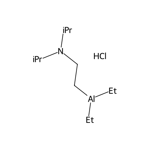 C[CH2][Al]([CH2]C)[CH2]CN(C(C)C)C(C)C.Cl